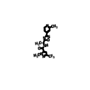 Cc1cc(-c2noc([C@@H](C)NC(=O)c3cc(C(F)(F)F)nn3C)n2)ccn1